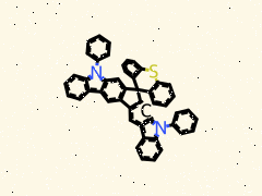 c1ccc(-n2c3ccccc3c3cc4c(cc32)C2(c3ccccc3Sc3ccccc32)c2cc3c(cc2-4)c2ccccc2n3-c2ccccc2)cc1